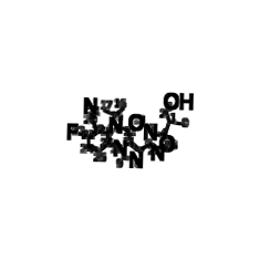 CC(CO)c1nc(-c2ncn3c2c(=O)n(C(C)C)c2c(C#N)c(F)ccc23)no1